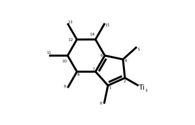 CC1=[C]([Ti])C(C)C2=C1C(C)C(C)C(C)C2C